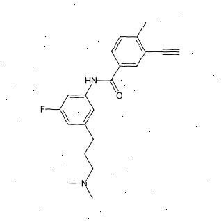 C#Cc1cc(C(=O)Nc2cc(F)cc(CCCN(C)C)c2)ccc1C